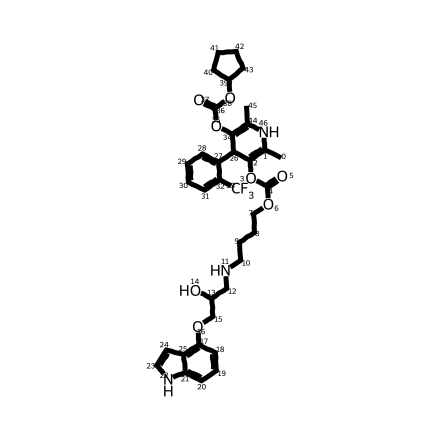 CC1=C(OC(=O)OCCCCNCC(O)COc2cccc3[nH]ccc23)C(c2ccccc2C(F)(F)F)C(OC(=O)OC2CCCC2)=C(C)N1